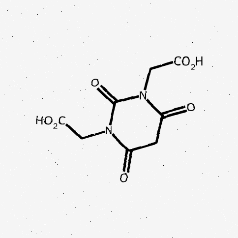 O=C(O)CN1C(=O)CC(=O)N(CC(=O)O)C1=O